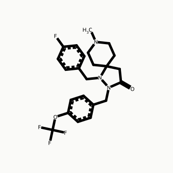 CN1CCC2(CC1)CC(=O)N(Cc1ccc(OC(F)(F)F)cc1)N2Cc1ccc(F)cc1